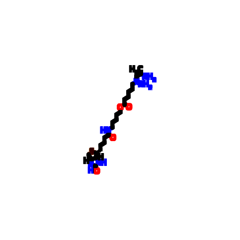 CC(N)CN(N)CCCCCC(=O)OCCCCCNC(=O)CCCC[C@H]1SC[C@@H]2NC(=O)N[C@@H]21